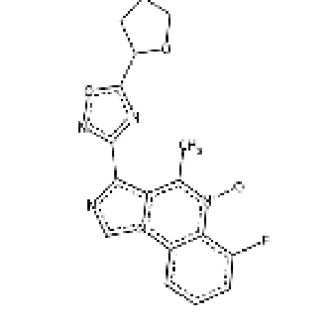 Cc1c2c(-c3noc(C4CCCO4)n3)ncn2c2cccc(F)c2[n+]1[O-]